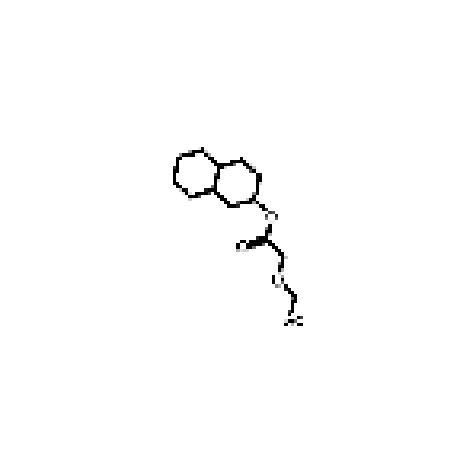 CC(=O)COCC(=O)OC1CCC2CCCCC2C1